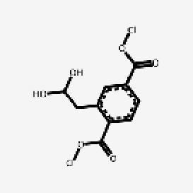 O=C(OCl)c1ccc(C(=O)OCl)c(CC(O)O)c1